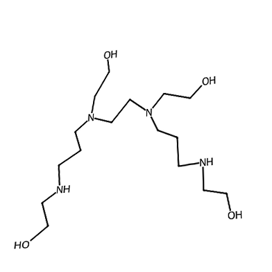 OCCNCCCN(CCO)CCN(CCO)CCCNCCO